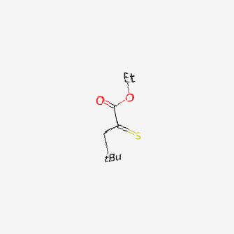 CCOC(=O)C(=S)CC(C)(C)C